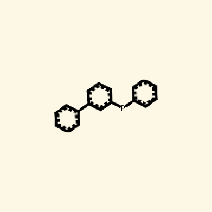 c1ccc([P]c2cccc(-c3ccccc3)c2)cc1